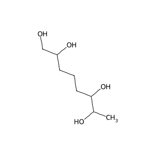 CC(O)C(O)CCCC(O)CO